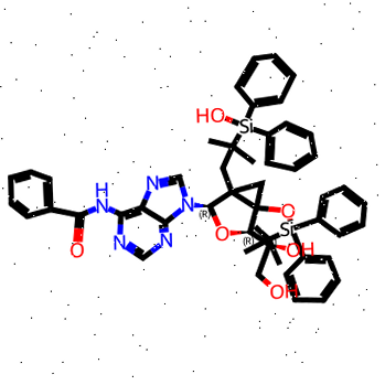 CC(C)(CC12CC1(O[Si](c1ccccc1)(c1ccccc1)C(C)(C)C)[C@@H]([C@@H](O)CO)O[C@H]2n1cnc2c(NC(=O)c3ccccc3)ncnc21)[Si](O)(c1ccccc1)c1ccccc1